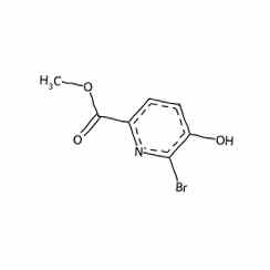 COC(=O)c1ccc(O)c(Br)n1